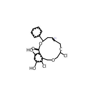 O=C1OC(c2ccccc2)C/C=C/CCC(Cl)COCc2c(Cl)c(O)cc(O)c21